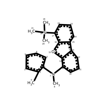 Cc1ccccc1N(C)c1cccc2c1oc1c([Si](C)(C)C)cccc12